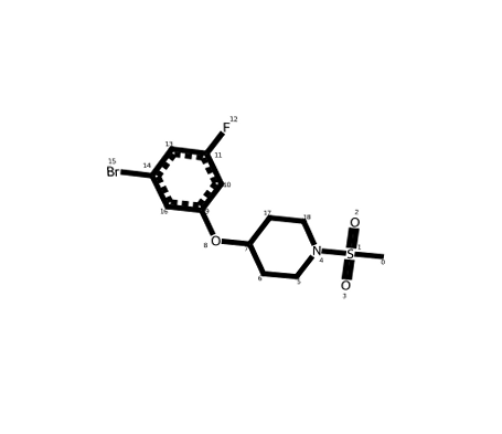 CS(=O)(=O)N1CCC(Oc2cc(F)cc(Br)c2)CC1